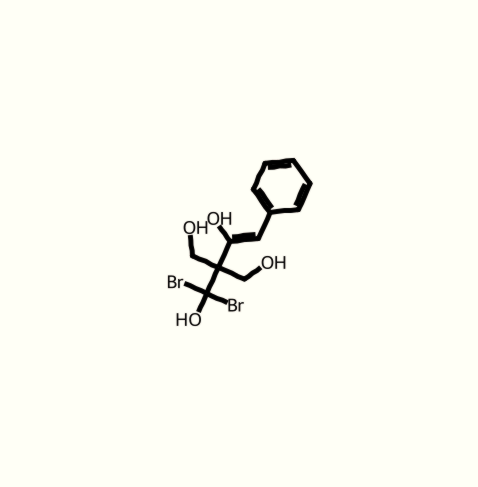 OCC(CO)(C(O)=Cc1ccccc1)C(O)(Br)Br